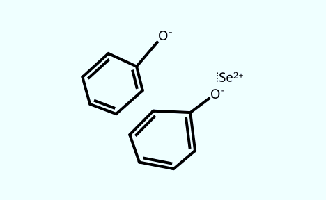 [O-]c1ccccc1.[O-]c1ccccc1.[Se+2]